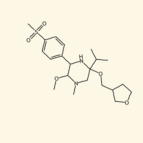 COC1C(c2ccc(S(C)(=O)=O)cc2)NC(OCC2CCOC2)(C(C)C)CN1C